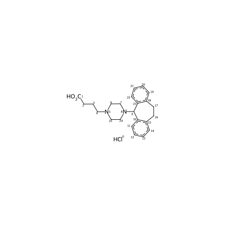 Cl.O=C(O)CCCN1CCN(C2c3ccccc3CCc3ccccc32)CC1